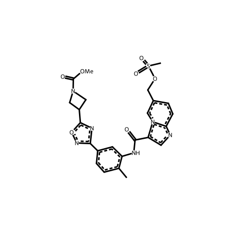 COC(=O)N1CC(c2nc(-c3ccc(C)c(NC(=O)c4cnc5ccc(COS(C)(=O)=O)cn45)c3)no2)C1